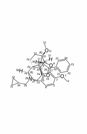 COc1ccc2c3c1O[C@H]1[C@@]4(OC)CC[C@@]5(C[C@@H]4C(=O)c4ccccc4)[C@@H](C2)N(CC2CC2)CC[C@]315